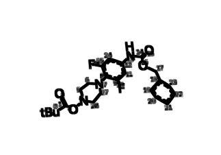 CC(C)(C)C(=O)ON1CCN(c2c(F)cc(NC(=O)OCc3ccccc3)cc2F)CC1